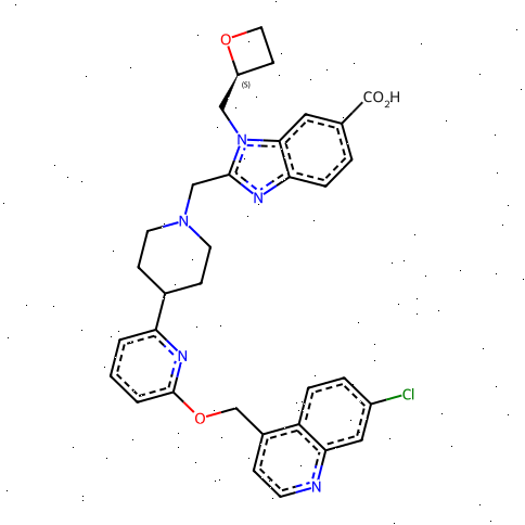 O=C(O)c1ccc2nc(CN3CCC(c4cccc(OCc5ccnc6cc(Cl)ccc56)n4)CC3)n(C[C@@H]3CCO3)c2c1